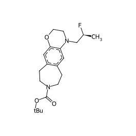 C[C@H](F)CN1CCOc2cc3c(cc21)CCN(C(=O)OC(C)(C)C)CC3